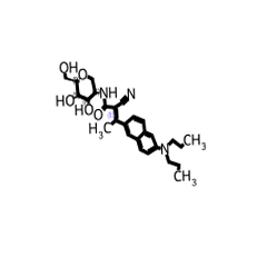 CCCN(CCC)c1ccc2cc(/C(C)=C(\C#N)C(=O)N[C@H]3CO[C@H](CO)[C@@H](O)[C@@H]3O)ccc2c1